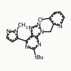 Cn1nccc1-c1nc(C(C)(C)C)nc2c1nnn2Cc1ncccc1Cl